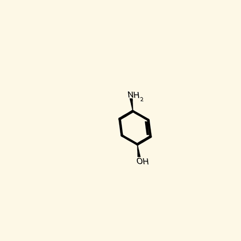 N[C@H]1C=C[C@@H](O)CC1